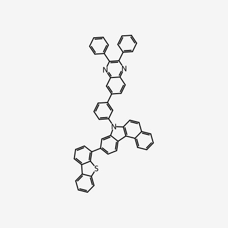 c1ccc(-c2nc3ccc(-c4cccc(-n5c6cc(-c7cccc8c7sc7ccccc78)ccc6c6c7ccccc7ccc65)c4)cc3nc2-c2ccccc2)cc1